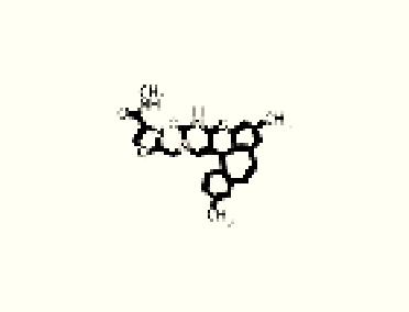 CNC(=O)c1coc(Cn2cc(C3c4ccc(C)cc4C=Cc4cc(C)ccc43)c(=S)[nH]c2=O)n1